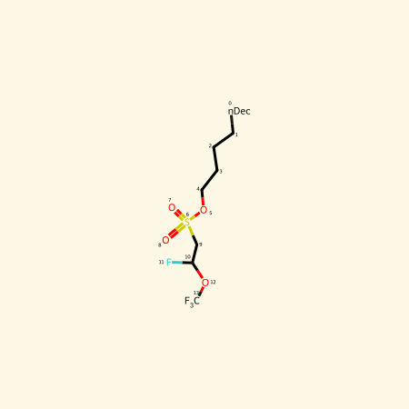 CCCCCCCCCCCCCCOS(=O)(=O)CC(F)OC(F)(F)F